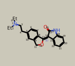 CCN(CC)CCc1ccc2c(c1)CO/C2=C1/C(=O)Nc2ccccc21